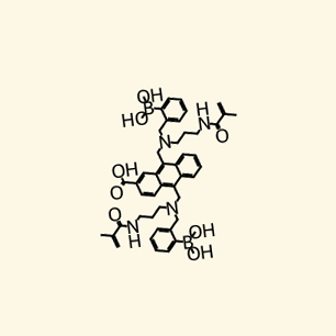 C=C(C)C(=O)NCCCN(Cc1ccccc1B(O)O)Cc1c2ccccc2c(CN(CCCNC(=O)C(=C)C)Cc2ccccc2B(O)O)c2cc(C(=O)O)ccc12